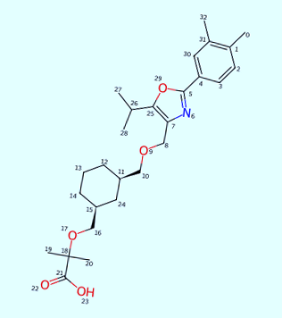 Cc1ccc(-c2nc(COC[C@@H]3CCC[C@H](COC(C)(C)C(=O)O)C3)c(C(C)C)o2)cc1C